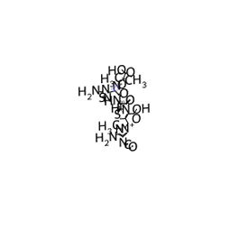 Cn1c(N)c(N=C=O)c[n+]1CC1=C(C(=O)O)N2C(=O)[C@@H](NC(=O)/C(=N\OC(C)(C)C(=O)O)c3nsc(N)n3)[C@H]2SC1